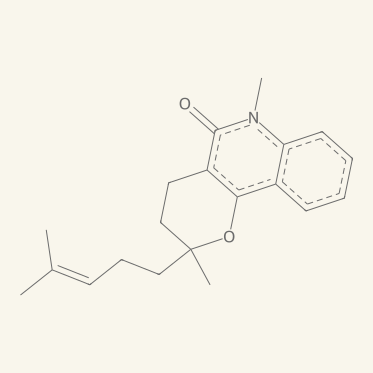 CC(C)=CCCC1(C)CCc2c(c3ccccc3n(C)c2=O)O1